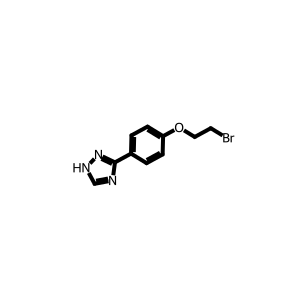 BrCCOc1ccc(-c2nc[nH]n2)cc1